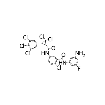 Nc1cc(F)cc(NC(=O)c2cc(NC(=O)C3[C@H](c4cc(Cl)c(Cl)c(Cl)c4)C3(Cl)Cl)ccc2Cl)c1